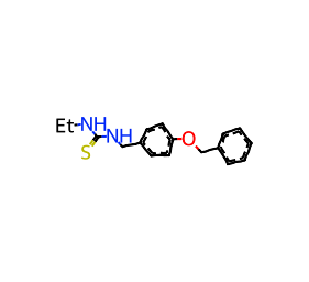 CCNC(=S)NCc1ccc(OCc2ccccc2)cc1